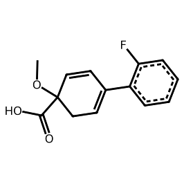 COC1(C(=O)O)C=CC(c2ccccc2F)=CC1